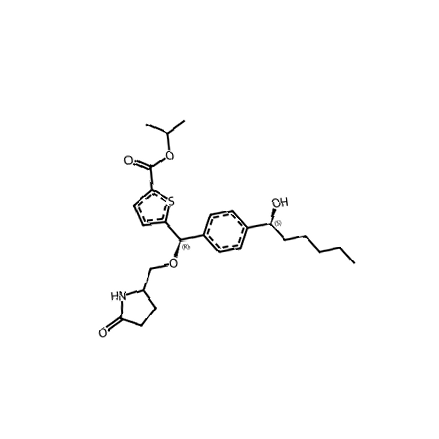 CCCCC[C@H](O)c1ccc([C@@H](OCC2CCC(=O)N2)c2ccc(C(=O)OC(C)C)s2)cc1